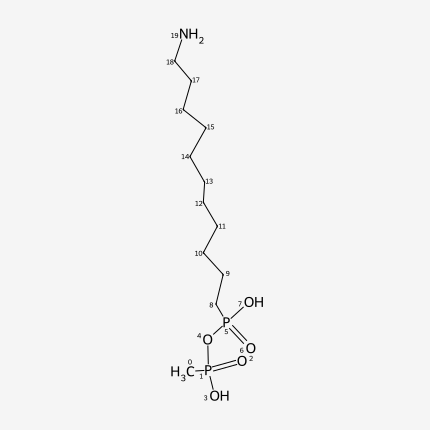 CP(=O)(O)OP(=O)(O)CCCCCCCCCCCN